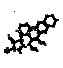 C/C(=C(\ON)c1c(C)cccc1-n1nnn(C)c1=O)c1ccc2c(c1)CCCC2